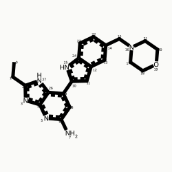 CCc1nc2nc(N)cc(-c3cc4cc(CN5CCOCC5)ccc4[nH]3)c2[nH]1